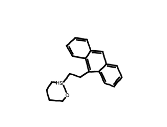 c1ccc2c(CC[SiH]3CCCCO3)c3ccccc3cc2c1